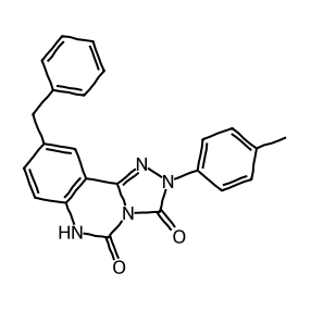 Cc1ccc(-n2nc3c4cc(Cc5ccccc5)ccc4[nH]c(=O)n3c2=O)cc1